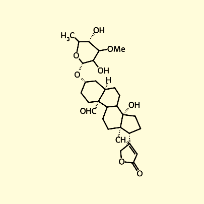 COC1C(O)[C@H](O[C@H]2CC[C@]3(C=O)C4CC[C@]5(C)[C@@H](C6=CC(=O)OC6)CC[C@]5(O)C4CC[C@@H]3C2)OC(C)[C@@H]1O